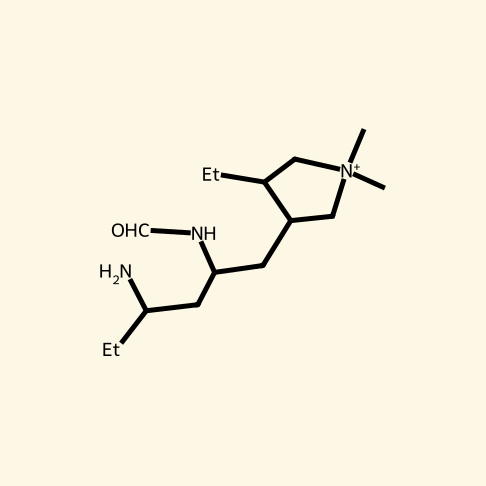 CCC(N)CC(CC1C[N+](C)(C)CC1CC)NC=O